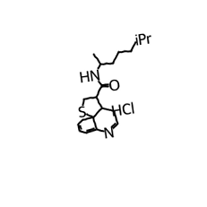 CC(C)CCCC(C)NC(=O)C1CSC23CC=CC=C2N=CCC13.Cl